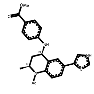 COC(=O)c1ccc(N[C@@H]2C[C@H](C)N(C(C)=O)c3ccc(-c4c[nH]cn4)cc32)cc1